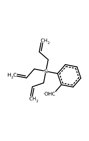 C=CC[Si](CC=C)(CC=C)c1ccccc1[C]=O